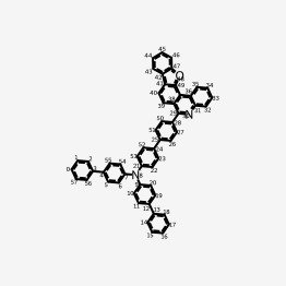 c1ccc(-c2ccc(N(c3ccc(-c4ccccc4)cc3)c3ccc(-c4ccc(-c5nc6ccccc6c6c5ccc5c7ccccc7oc56)cc4)cc3)cc2)cc1